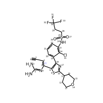 C#C/C=C(\N=C(N)N)c1sc(C2CCOCC2)nc1-c1cccc(NS(=O)(=O)CCC(F)(F)F)c1Cl